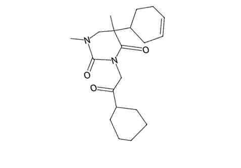 CN1CC(C)(C2CC=CCC2)C(=O)N(CC(=O)C2CCCCC2)C1=O